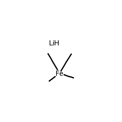 [CH3][Fe]([CH3])([CH3])[CH3].[LiH]